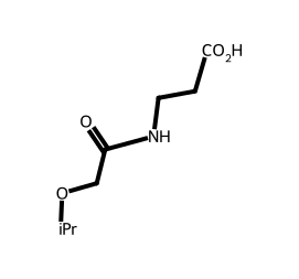 CC(C)OCC(=O)NCCC(=O)O